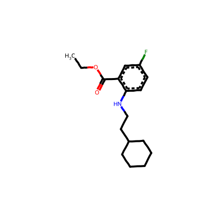 CCOC(=O)c1cc(F)ccc1NCCC1CCCCC1